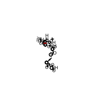 [2H]C([2H])([2H])Oc1cc2c(cn1)[C@@]1(CN2)[C@H](CC(C)(C)C)N[C@@H](C(=O)Nc2ccc(C(=O)N3CCC[C@@H](CC#Cc4cccc5c4CN([C@@H]4CCC(=O)NC4=O)C5=O)C3)cc2OC)[C@@H]1c1cccc(Cl)c1F